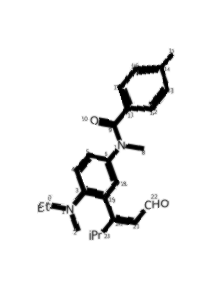 CCN(C)c1ccc(N(C)C(=O)c2ccc(C)cc2)cc1/C(=C\C=O)C(C)C